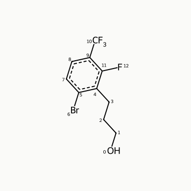 OCCCc1c(Br)ccc(C(F)(F)F)c1F